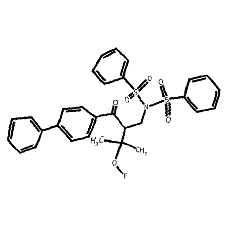 CC(C)(OF)C(CN(S(=O)(=O)c1ccccc1)S(=O)(=O)c1ccccc1)C(=O)c1ccc(-c2ccccc2)cc1